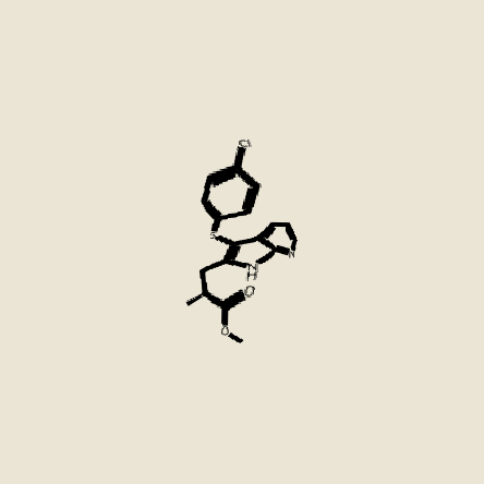 COC(=O)[C@@H](C)Cc1[nH]c2ncccc2c1Sc1ccc(Cl)cc1